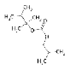 CC(C)COC(=O)O[Si](C)(C)C(C)C